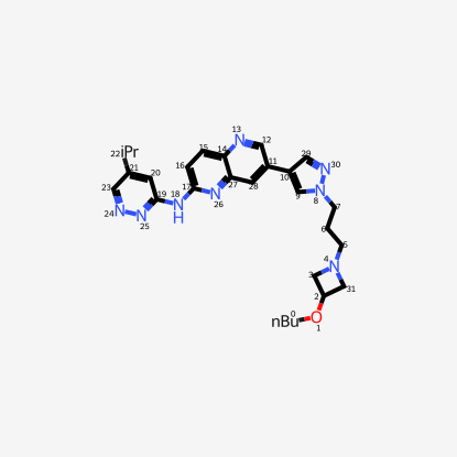 CCCCOC1CN(CCCn2cc(-c3cnc4ccc(Nc5cc(C(C)C)cnn5)nc4c3)cn2)C1